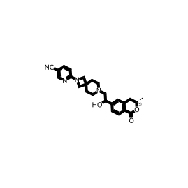 C[C@H]1Cc2cc(C(O)CN3CCC4(CC3)CN(c3ccc(C#N)cn3)C4)ccc2C(=O)O1